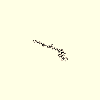 CN(C)c1cccc2c(S(=O)(=O)NCCCCCC(=O)NCCCNCCCCNOC(F)(F)F)cccc12